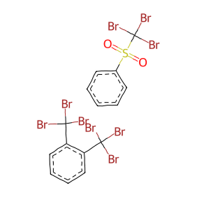 BrC(Br)(Br)c1ccccc1C(Br)(Br)Br.O=S(=O)(c1ccccc1)C(Br)(Br)Br